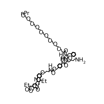 CCCOCCOCCOCCOCCOCCOCCOCCOCCOCCC(=O)N[C@@H](Cc1ccccc1)C(=O)N[C@@H](CCCCN)C(=O)Nc1ccc(COC(=O)NCCCOc2ccc3nc4c(c(CC)c3c2)Cn2c-4cc3c(c2=O)COC(=O)[C@@H]3CC)cc1